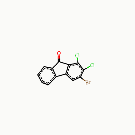 O=C1c2ccccc2-c2cc(Br)c(Cl)c(Cl)c21